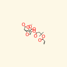 C=CC(=O)OC(C)(C)CC(=O)OC1C2OC(=O)C3C2OC1C3C(=O)OC